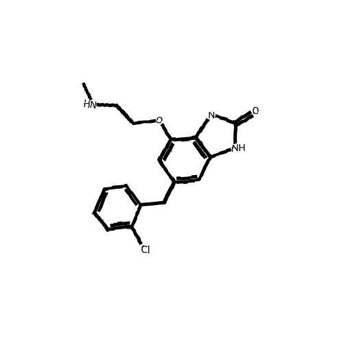 CNCCOc1cc(Cc2ccccc2Cl)cc2c1[N]C(=O)N2